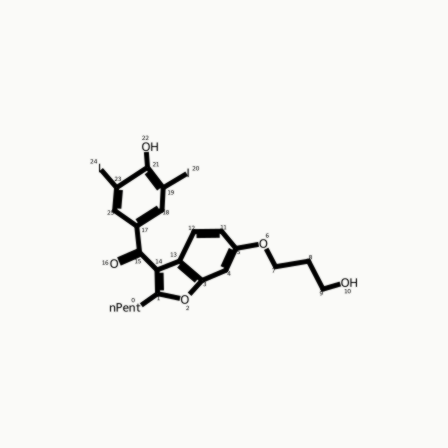 CCCCCc1oc2cc(OCCCO)ccc2c1C(=O)c1cc(I)c(O)c(I)c1